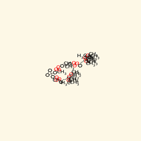 C[SiH2]O[SiH2]O[Si](C)(CCCc1ccccc1OC(=O)Oc1cc(C2(c3ccc(C)c(OC(=O)Oc4ccc(C(C)(C)c5ccc(OC(=O)Oc6ccccc6CCC[Si](C)(O[Si](C)(C)C)O[Si](C)(C)O[Si](C)(C)C)cc5)cc4)c3)c3ccccc3-c3ccccc32)ccc1C)O[Si](C)(C)C